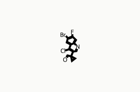 O=CC1(c2cnc3cc(F)c(Br)cc3c2Cl)CC1